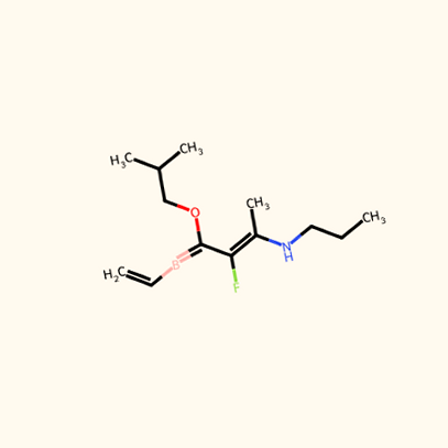 C=C/B=C(OCC(C)C)\C(F)=C(/C)NCCC